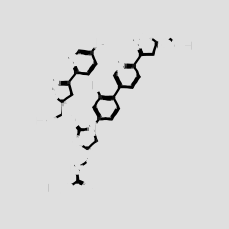 CC(=O)NC[C@H]1CN(c2ccc(-c3ccc(C4=NO[C@H](CO)C4)nc3)c(F)c2)C(=O)O1.OC[C@@H]1CC(c2ccc(Br)cn2)=NO1